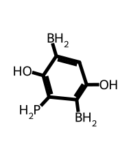 Bc1cc(O)c(B)c(P)c1O